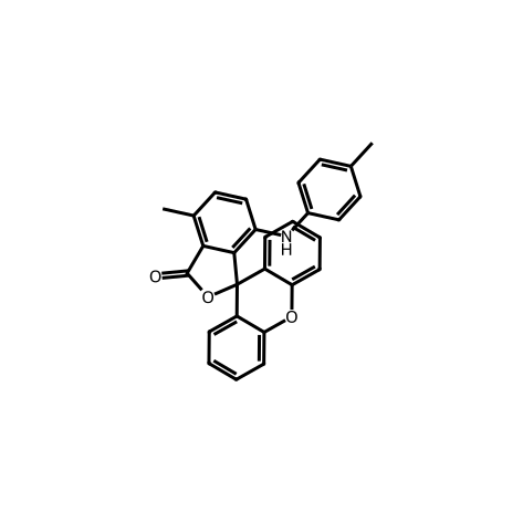 Cc1ccc(Nc2ccc(C)c3c2C2(OC3=O)c3ccccc3Oc3ccccc32)cc1